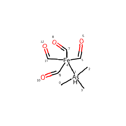 C[AsH](C)(C)[Fe]([CH]=O)([CH]=O)([CH]=O)[CH]=O